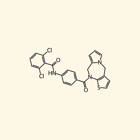 O=C(Nc1ccc(C(=O)N2Cc3cccn3Cc3ccsc32)cc1)c1c(Cl)cccc1Cl